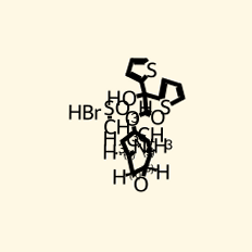 Br.CS(=O)(=O)O.C[N+]1(C)[C@@H]2CC(OC(=O)C(O)(c3cccs3)c3cccs3)C[C@H]1[C@@H]1O[C@@H]12